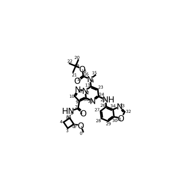 CO[C@H]1CC[C@@H]1NC(=O)c1cnn2c(N(C)C(=O)OC(C)(C)C)cc(Nc3cccc4ocnc34)nc12